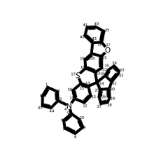 c1ccc(N(c2ccccc2)c2ccc3c(c2)Sc2cc4c(cc2C32c3ccccc3-c3ccccc32)oc2ccccc24)cc1